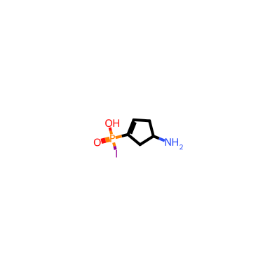 NC1CC=C(P(=O)(O)I)C1